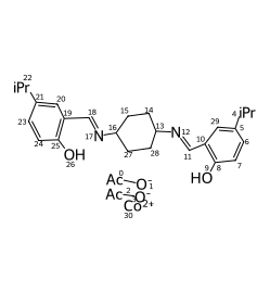 CC(=O)[O-].CC(=O)[O-].CC(C)c1ccc(O)c(C=NC2CCC(N=Cc3cc(C(C)C)ccc3O)CC2)c1.[Co+2]